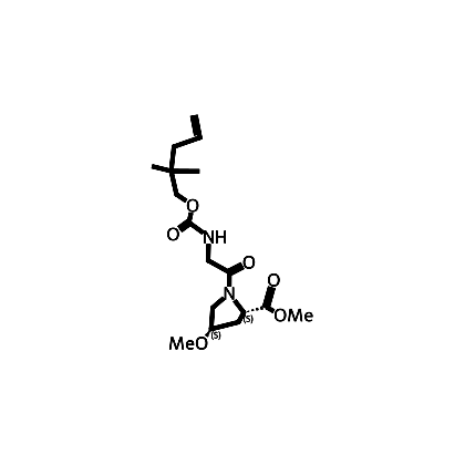 C=CCC(C)(C)COC(=O)NCC(=O)N1C[C@@H](OC)C[C@H]1C(=O)OC